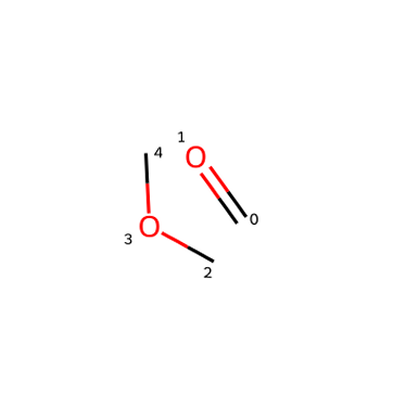 C=O.COC